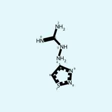 N=C(N)NN.c1csnn1